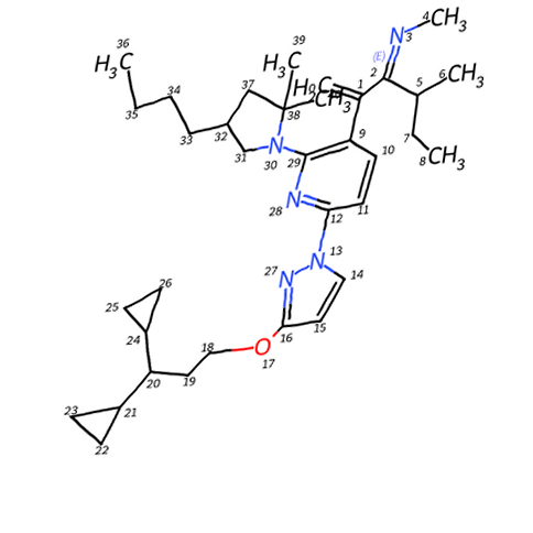 C=C(/C(=N/C)C(C)CC)c1ccc(-n2ccc(OCCC(C3CC3)C3CC3)n2)nc1N1CC(CCCC)CC1(C)C